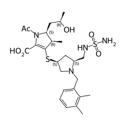 CC(=O)N1C(C(=O)O)=C(S[C@H]2C[C@@H](CNS(N)(=O)=O)N(Cc3cccc(C)c3C)C2)[C@H](C)[C@@H]1C[C@@H](C)O